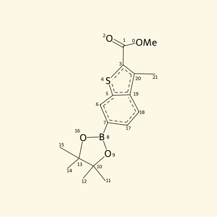 COC(=O)c1sc2cc(B3OC(C)(C)C(C)(C)O3)ccc2c1C